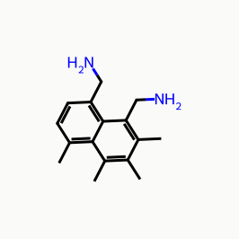 Cc1c(C)c(CN)c2c(CN)ccc(C)c2c1C